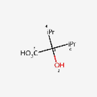 CC(C)C(O)(C(=O)O)C(C)C